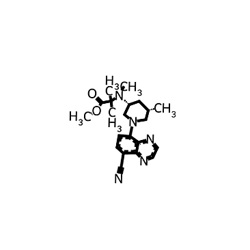 COC(=O)C(C)(C)N(C)[C@@H]1C[C@H](C)CN(c2ccc(C#N)c3nccnc23)C1